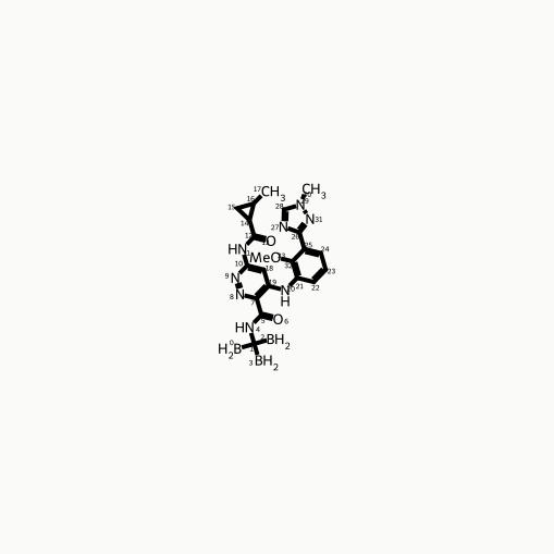 BC(B)(B)NC(=O)c1nnc(NC(=O)C2CC2C)cc1Nc1cccc(-c2ncn(C)n2)c1OC